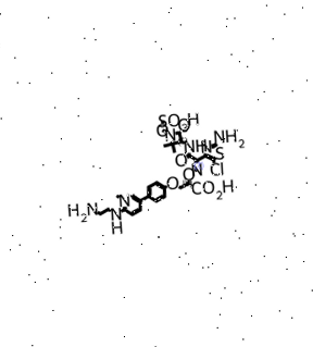 C[n+]1cc(-c2ccc(OC[C@H](O/N=C(\C(=O)N[C@@H]3C(=O)N(OS(=O)(=O)O)C3(C)C)c3nc(N)sc3Cl)C(=O)O)cc2)ccc1NCCN